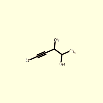 CCC#CC(O)C(C)O